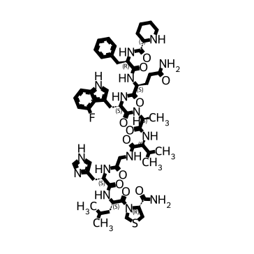 CC(C)C[C@H](NC(=O)[C@H](Cc1c[nH]cn1)NC(=O)CNC(=O)[C@@H](NC(=O)[C@H](C)NC(=O)[C@H](Cc1c[nH]c2cccc(F)c12)NC(=O)[C@H](CCC(N)=O)NC(=O)[C@@H](Cc1ccccc1)NC(=O)[C@@H]1CCCCN1)C(C)C)C(=O)N1CSC[C@H]1C(N)=O